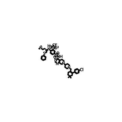 CN(C)CC[C@H](CSc1ccccc1)Nc1ccc(S(=O)(=O)Nc2ncnc3c2CCN(C2CCN(CC4=C(c5ccc(Cl)cc5)CC(C)(C)CC4)CC2)C3)cc1S(=O)(=O)C(F)(F)F